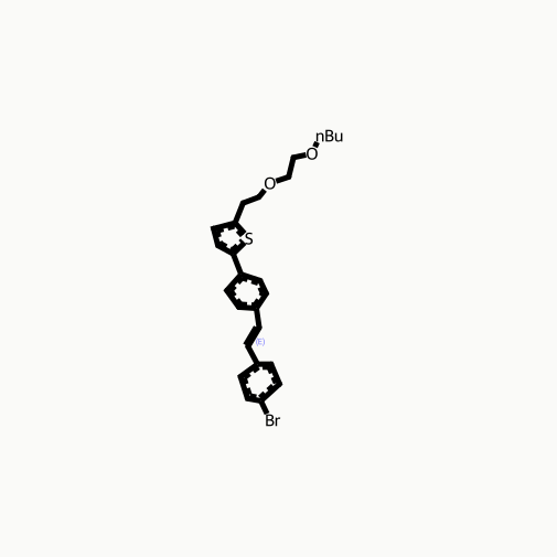 CCCCOCCOCCc1ccc(-c2ccc(/C=C/c3ccc(Br)cc3)cc2)s1